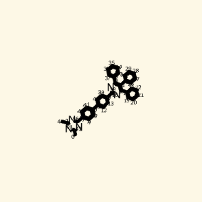 Cc1nc(C)nc(-c2ccc(-c3ccc(-c4nc(-c5ccccc5)c(-c5ccccc5)c(-c5ccccc5)n4)cc3)cc2)n1